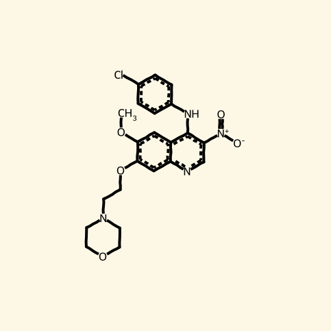 COc1cc2c(Nc3ccc(Cl)cc3)c([N+](=O)[O-])cnc2cc1OCCN1CCOCC1